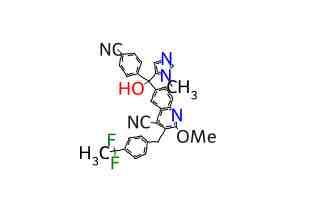 COc1nc2ccc(C(O)(c3ccc(C#N)cc3)c3cncn3C)cc2c(C#N)c1Cc1ccc(C(C)(F)F)cc1